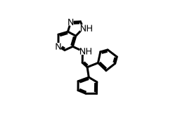 C(Nc1cncc2nc[nH]c12)=C(c1ccccc1)c1ccccc1